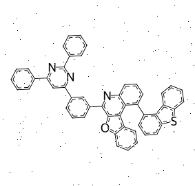 c1ccc(-c2cc(-c3cccc(-c4nc5cccc(-c6cccc7sc8ccccc8c67)c5c5c4oc4ccccc45)c3)nc(-c3ccccc3)n2)cc1